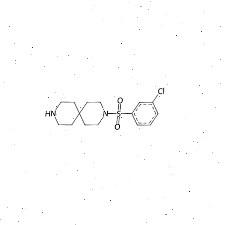 O=S(=O)(c1cccc(Cl)c1)N1CCC2(CCNCC2)CC1